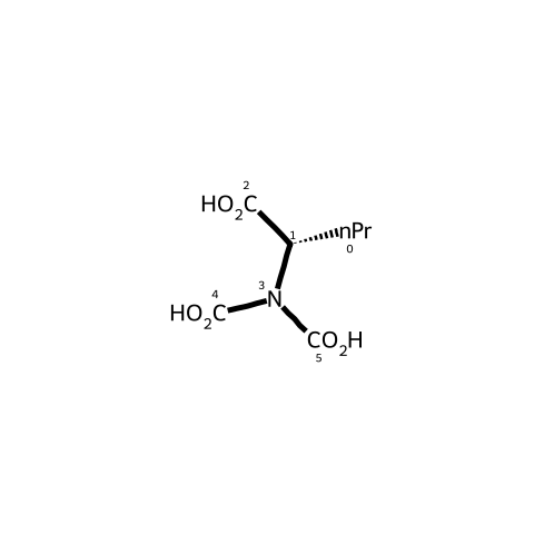 CCC[C@@H](C(=O)O)N(C(=O)O)C(=O)O